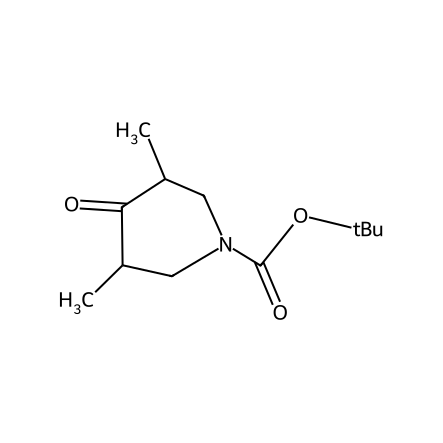 CC1CN(C(=O)OC(C)(C)C)CC(C)C1=O